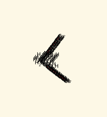 NCC(=O)O.NCC(=O)O.NCC(=O)O.NCC(=O)O.NCC(=O)O.NCC(=O)O.NCC(=O)O.NCC(=O)O.NCC(=O)O.[Cu].[Cu].[Cu].[Cu].[Cu].[Cu].[Cu].[Cu].[Cu].[Cu].[Cu].[Cu].[Cu].[Cu].[Cu].[Cu].[Cu].[Cu].[Cu].[Cu].[Cu].[Cu].[Cu].[Cu].[Cu].[Cu].[Cu].[Cu].[Cu].[Cu].[Cu].[Cu].[Cu].[Cu].[Cu].[Cu].[Cu].[Cu].[Cu].[Cu].[Cu].[Cu].[Cu].[Cu].[Cu].[Cu].[Cu].[Cu].[Cu].[Cu]